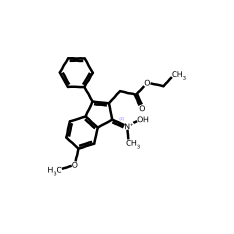 CCOC(=O)CC1=C(c2ccccc2)c2ccc(OC)cc2/C1=[N+](\C)O